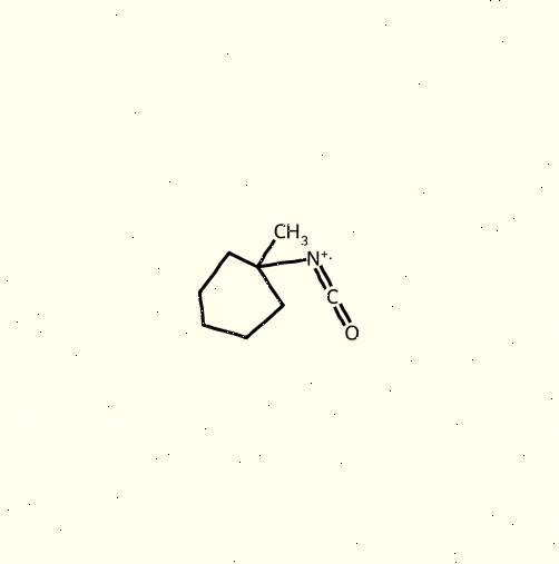 CC1([N+]=C=O)CCCCC1